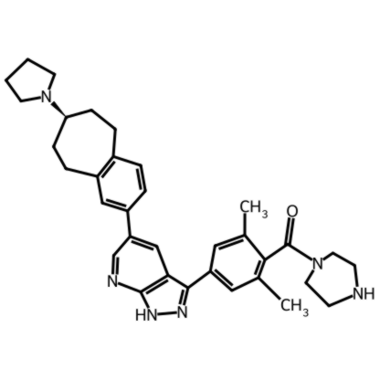 Cc1cc(-c2n[nH]c3ncc(-c4ccc5c(c4)CC[C@@H](N4CCCC4)CC5)cc23)cc(C)c1C(=O)N1CCNCC1